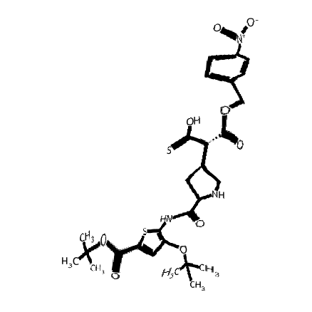 CC(C)(C)OC(=O)c1cc(OC(C)(C)C)c(NC(=O)C2C[C@@H]([C@@H](C(=O)OCc3ccc([N+](=O)[O-])cc3)C(O)=S)CN2)s1